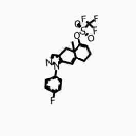 CC12Cc3cnn(-c4ccc(F)cc4)c3C=C1CCC=C2OS(=O)(=O)C(F)(F)F